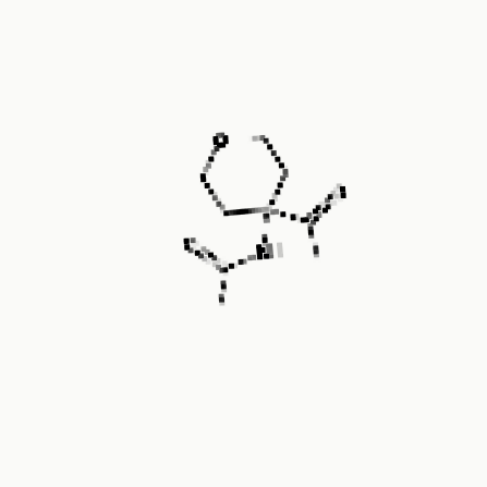 CC(=O)NC1(C(C)=O)CCOCC1